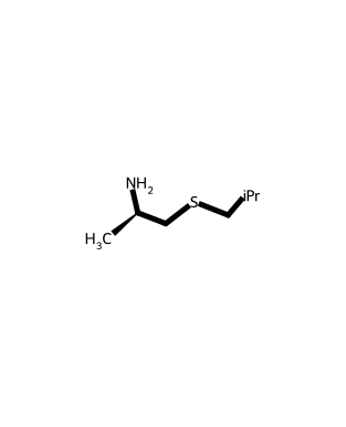 CC(C)CSC[C@@H](C)N